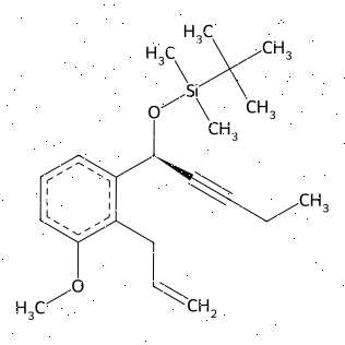 C=CCc1c(OC)cccc1[C@H](C#CCC)O[Si](C)(C)C(C)(C)C